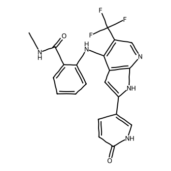 CNC(=O)c1ccccc1Nc1c(C(F)(F)F)cnc2[nH]c(-c3ccc(=O)[nH]c3)cc12